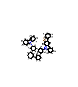 C1=CCC=CC([Si](c2ccccc2)(c2ccc(-n3c4ccccc4c4ccccc43)cc2)c2ccc(-n3c4ccccc4c4cc5c(cc43)sc3ccccc35)cc2)=C1